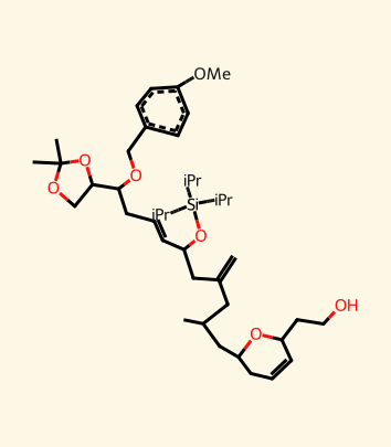 C=C(CC(C)CC1CC=CC(CCO)O1)CC(C=CCC(OCc1ccc(OC)cc1)C1COC(C)(C)O1)O[Si](C(C)C)(C(C)C)C(C)C